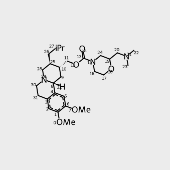 COc1cc2c(cc1OC)[C@H]1C[C@@H](COC(=O)N3CCOC(CN(C)C)C3)[C@H](CC(C)C)CN1CC2